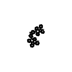 c1ccc(-n2c3c(c4cccnc42)-c2ccccc2N(c2ccc4sc5ccc(N6c7ccccc7-c7c(n(-c8cccnc8)c8ccccc78)-c7ccccc76)cc5c4c2)c2ccccc2-3)cc1